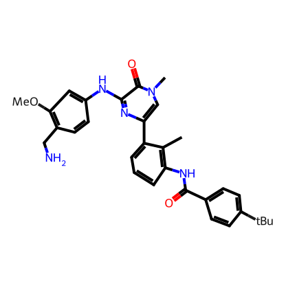 COc1cc(Nc2nc(-c3cccc(NC(=O)c4ccc(C(C)(C)C)cc4)c3C)cn(C)c2=O)ccc1CN